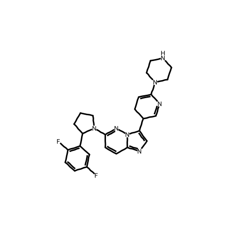 Fc1ccc(F)c(C2CCCN2c2ccc3ncc(C4C=NC(N5CCNCC5)=CC4)n3n2)c1